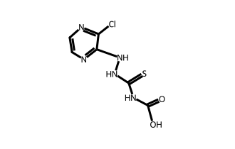 O=C(O)NC(=S)NNc1nccnc1Cl